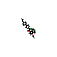 CCCC1CCC(C2CCC(CC(=O)c3ccc(OCC)c(C(F)F)c3C(F)F)CC2)CC1